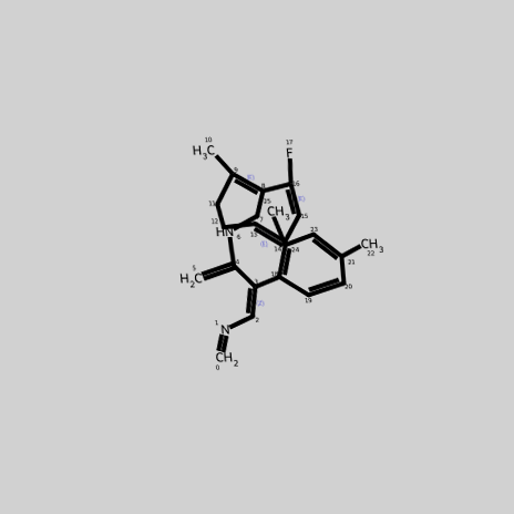 C=N/C=C(\C(=C)NCC1=C(/C)CC/C=C/C=C\1F)c1ccc(C)cc1C